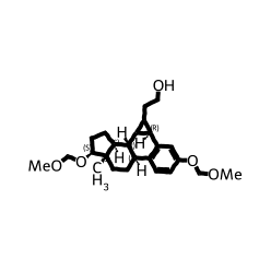 COCOc1ccc2c(c1)[C@@H]1C(CCO)C1[C@@H]1[C@@H]2CC[C@]2(C)[C@@H](OCOC)CC[C@@H]12